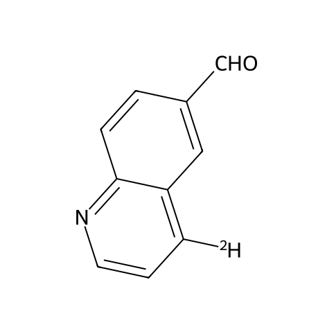 [2H]c1ccnc2ccc(C=O)cc12